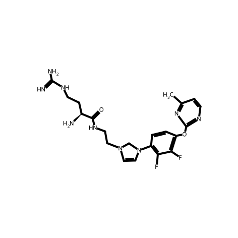 Cc1ccnc(Oc2ccc(N3C=CN(CCNC(=O)[C@@H](N)CCNC(=N)N)C3)c(F)c2F)n1